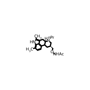 CCCN1C[C@@H](CONC(C)=O)CC2c3ccc(C)c4[nH]c(C)c(c34)C[C@H]21